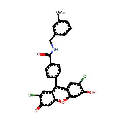 COc1cccc(CNC(=O)c2ccc(-c3c4cc(Cl)c(=O)cc-4oc4cc(O)c(Cl)cc34)cc2)c1